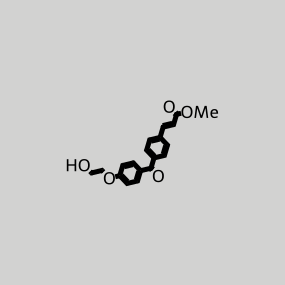 COC(=O)/C=C/c1ccc(C(=O)c2ccc(OCCO)cc2)cc1